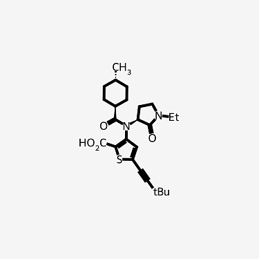 CCN1CC[C@H](N(c2cc(C#CC(C)(C)C)sc2C(=O)O)C(=O)[C@H]2CC[C@H](C)CC2)C1=O